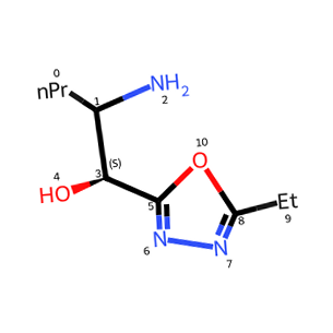 CCCC(N)[C@H](O)c1nnc(CC)o1